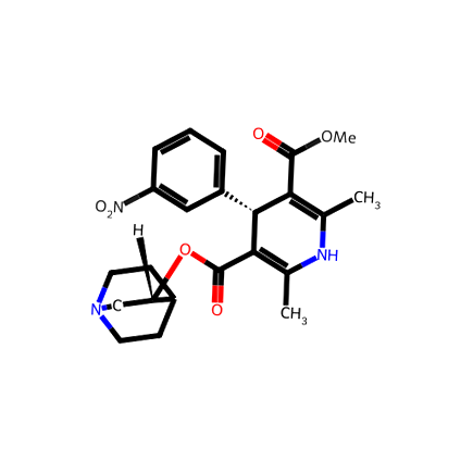 COC(=O)C1=C(C)NC(C)=C(C(=O)O[C@H]2CN3CCC2CC3)[C@@H]1c1cccc([N+](=O)[O-])c1